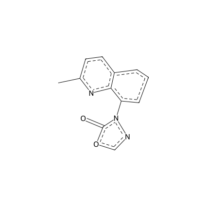 Cc1ccc2cccc(-n3ncoc3=O)c2n1